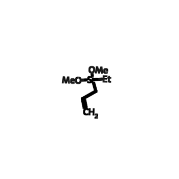 C=CC[Si](CC)(OC)OC